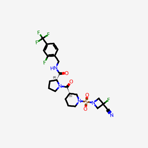 N#CC1(F)CN(S(=O)(=O)N2CCC[C@H](C(=O)N3CCC[C@@H]3C(=O)NCc3ccc(C(F)(F)F)cc3F)C2)C1